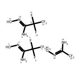 NC(=NO)C(F)(F)C(F)(F)F.NC(=NO)C(F)(F)C(F)(F)F.NC(=NO)C(F)(F)F